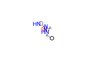 c1ccc([C@H]2C[C@@H]2NCC2(c3noc([C@@H]4CCCNC4)n3)CC2)cc1